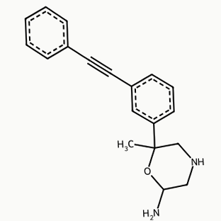 CC1(c2cccc(C#Cc3ccccc3)c2)CNCC(N)O1